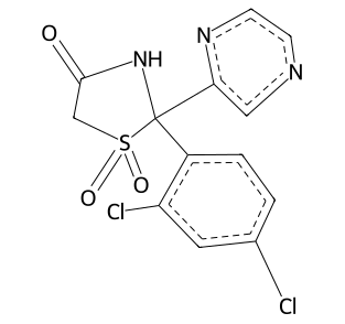 O=C1CS(=O)(=O)C(c2cnccn2)(c2ccc(Cl)cc2Cl)N1